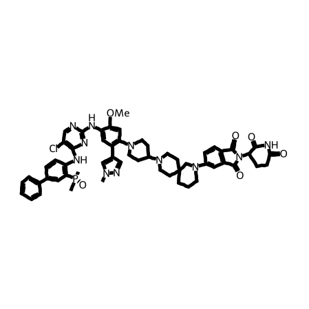 COc1cc(N2CCC(N3CCC4(CCCN(c5ccc6c(c5)C(=O)N(C5CCC(=O)NC5=O)C6=O)C4)CC3)CC2)c(-c2cnn(C)c2)cc1Nc1ncc(Cl)c(Nc2ccc(-c3ccccc3)cc2P(C)(C)=O)n1